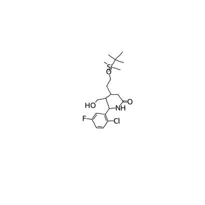 CC(C)(C)[Si](C)(C)OCCC1CC(=O)NC(c2cc(F)ccc2Cl)C1CO